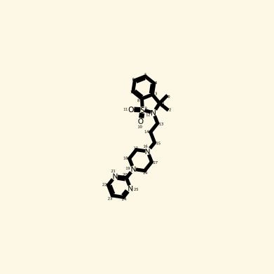 CC1(C)c2ccccc2S(=O)(=O)N1CCCN1CCN(c2ncccn2)CC1